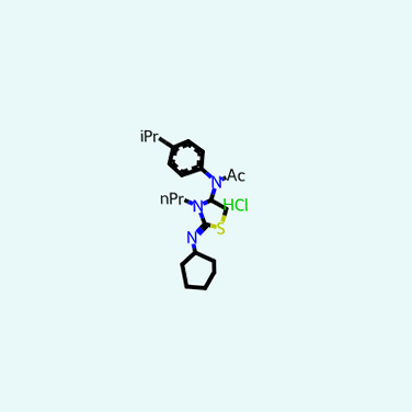 CCCN1C(=NC2CCCCC2)SCC1N(C(C)=O)c1ccc(C(C)C)cc1.Cl